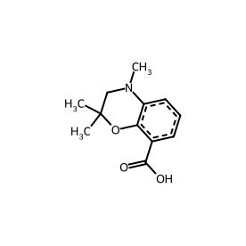 CN1CC(C)(C)Oc2c(C(=O)O)cccc21